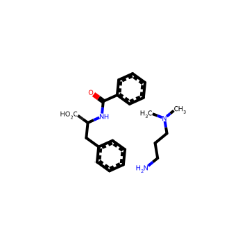 CN(C)CCCN.O=C(NC(Cc1[c]cccc1)C(=O)O)c1ccccc1